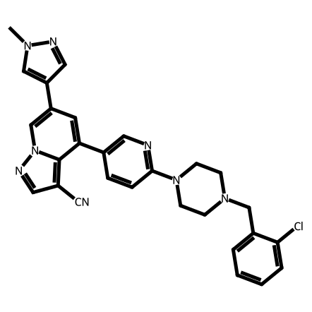 Cn1cc(-c2cc(-c3ccc(N4CCN(Cc5ccccc5Cl)CC4)nc3)c3c(C#N)cnn3c2)cn1